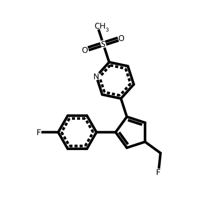 CS(=O)(=O)c1ccc(C2=CC(CF)C=C2c2ccc(F)cc2)cn1